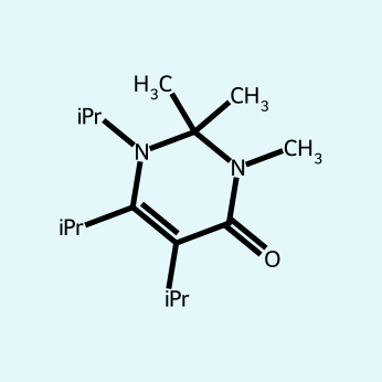 CC(C)C1=C(C(C)C)N(C(C)C)C(C)(C)N(C)C1=O